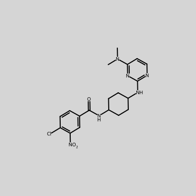 CN(C)c1ccnc(NC2CCC(NC(=O)c3ccc(Cl)c([N+](=O)[O-])c3)CC2)n1